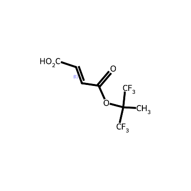 CC(OC(=O)/C=C/C(=O)O)(C(F)(F)F)C(F)(F)F